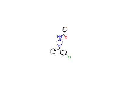 O=C(NN1CCN(C(c2ccccc2)c2ccc(Cl)cc2)CC1)c1ccsc1